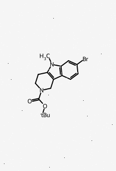 Cn1c2c(c3ccc(Br)cc31)CN(C(=O)OC(C)(C)C)CC2